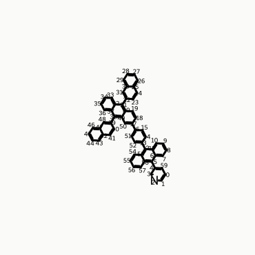 c1cncc(-c2c3ccccc3c(-c3ccc(-c4ccc5c(-c6ccc7ccccc7c6)c6ccccc6c(-c6ccc7ccccc7c6)c5c4)cc3)c3ccccc23)c1